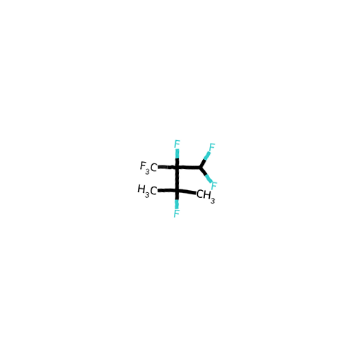 CC(C)(F)C(F)(C(F)F)C(F)(F)F